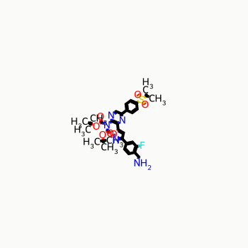 CC(C)S(=O)(=O)c1ccc(-c2cnc(N(C(=O)OC(C)(C)C)C(=O)OC(C)(C)C)c(-c3cc(-c4ccc(CN)c(F)c4)no3)n2)cc1